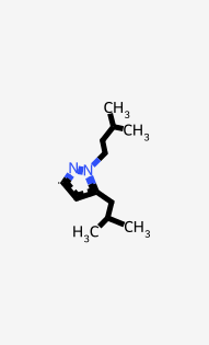 CC(C)CCn1n[c]cc1CC(C)C